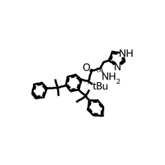 [CH2]C([CH2])([CH2])[C](C(=O)[C@@H](N)Cc1c[nH]cn1)c1ccc(C(C)(C)c2ccccc2)cc1C(C)(C)c1ccccc1